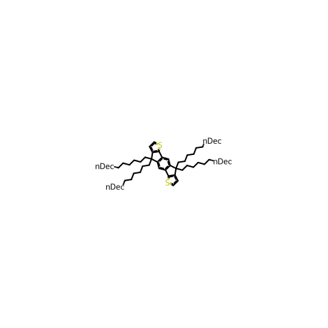 CCCCCCCCCCCCCCCCC1(CCCCCCCCCCCCCCCC)c2cc3c(cc2-c2sccc21)C(CCCCCCCCCCCCCCCC)(CCCCCCCCCCCCCCCC)c1ccsc1-3